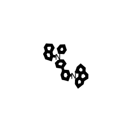 c1ccc(N(c2ccc(-c3cccc(-n4c5cccc6ccc7cccc4c7c65)c3)cc2)c2cccc3ccccc23)cc1